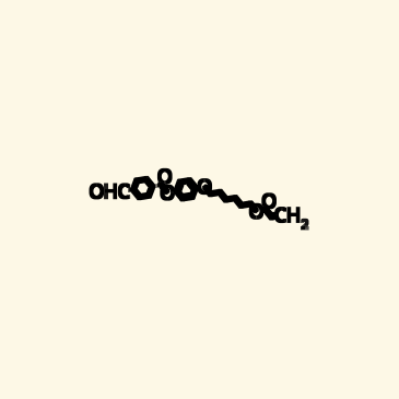 C=CC(=O)OCCCCCCOc1ccc(OC(=O)[C@H]2CC[C@@H](C=O)CC2)cc1